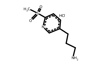 CS(=O)(=O)c1ccc(CCCN)cn1.Cl